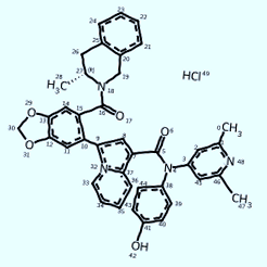 Cc1cc(N(C(=O)c2cc(-c3cc4c(cc3C(=O)N3Cc5ccccc5C[C@H]3C)OCO4)n3ccccc23)c2ccc(O)cc2)cc(C)n1.Cl